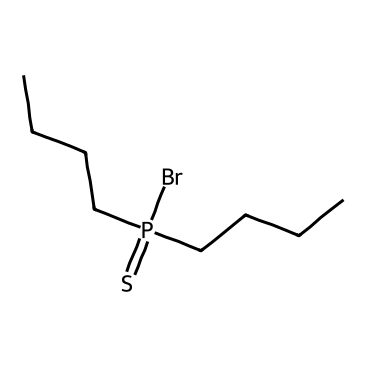 CCCCP(=S)(Br)CCCC